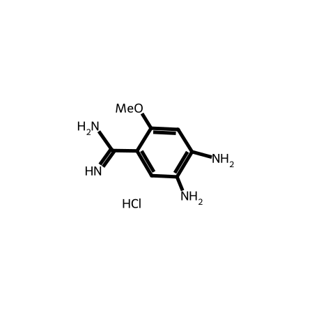 COc1cc(N)c(N)cc1C(=N)N.Cl